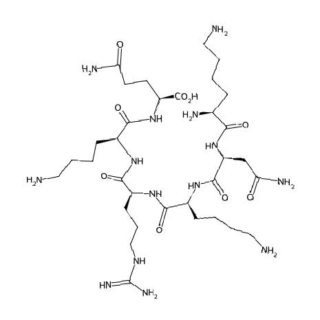 N=C(N)NCCC[C@H](NC(=O)[C@H](CCCCN)NC(=O)[C@H](CC(N)=O)NC(=O)[C@@H](N)CCCCN)C(=O)N[C@@H](CCCCN)C(=O)N[C@@H](CCC(N)=O)C(=O)O